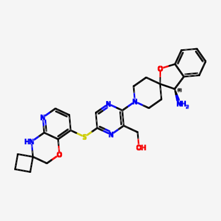 N[C@@H]1c2ccccc2OC12CCN(c1ncc(Sc3ccnc4c3OCC3(CCC3)N4)nc1CO)CC2